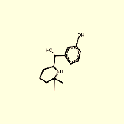 CC1(C)CCCC([C@H](O)c2cccc(O)c2)N1